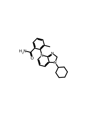 Cc1cccc(C(N)=O)c1N1C=CC=C2C1=NCN2C1CCCCC1